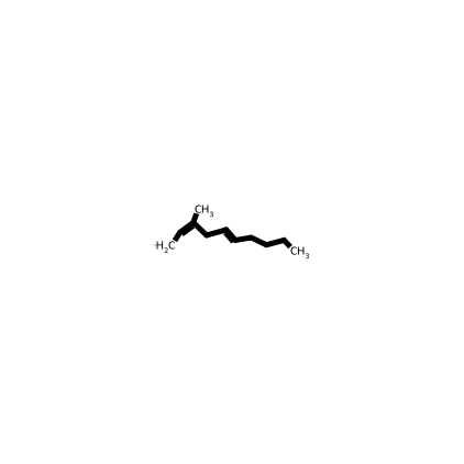 [CH2]C=C(C)CC=CCCCC